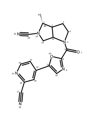 C[C@@H]1C2CCN(C(=O)c3ncc(-c4ccnc(C#N)c4)o3)C2CN1C#N